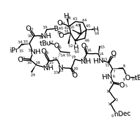 CCCCCCCCCCCCCC(=O)N[C@H](COC(C)(C)C)C(=O)N[C@H](C)C(=O)NCC(=O)N(C)[C@H](C(=O)N[C@@H](C)C(=O)N[C@@H](CC(C)C)C(=O)NCB1O[C@@H]2CC[C@@H]3C[C@@H](C3(C)C)[C@]2(C)O1)C(C)OC(C)(C)C